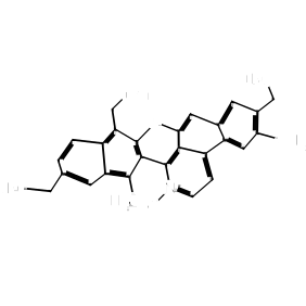 Cc1cc2c(cc1CC(C)(C)C)cc1c3c([n+](C)ccc32)-c2c(c(CC(C)(C)C)c3ccc(CC(C)(C)C)cc3c2C)S1